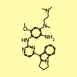 COc1cc(N(C)CCN(C)C)c(N)cc1Nc1nccc(-c2c3n(c4ccccc24)CCC3)n1